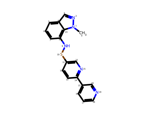 Cn1ncc2cccc(NSc3ccc(-c4cccnc4)nc3)c21